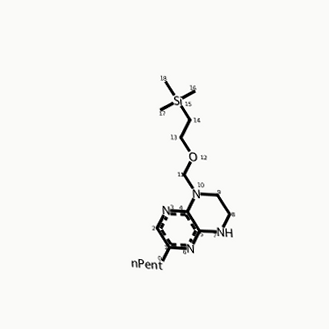 CCCCCc1cnc2c(n1)NCCN2COCC[Si](C)(C)C